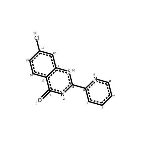 O=c1nc(-c2ccccn2)sc2cc(Cl)ccc12